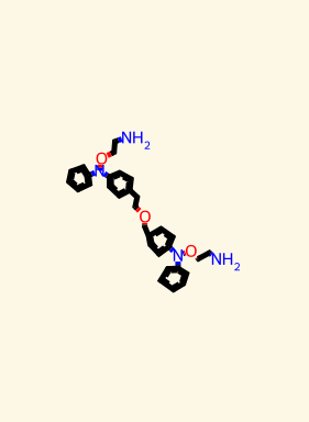 NCCON(c1ccccc1)c1ccc(CCOCc2ccc(N(OCCN)c3ccccc3)cc2)cc1